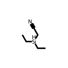 CC[SiH](CC)CC#N